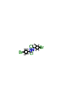 Cc1cc(Br)ccc1/C(Cl)=N/N=C(\Cl)c1ccc(Br)cc1